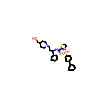 O=C(NC(CCN1CCC(CO)CC1)c1ccccc1)C1SCCN1S(=O)(=O)c1ccc(-c2ccccc2)cc1